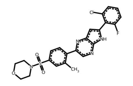 Cc1cc(S(=O)(=O)N2CCOCC2)ccc1-c1cnc2[nH]c(-c3c(F)cccc3Cl)cc2n1